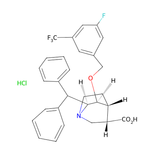 Cl.O=C(O)[C@@H]1CN2CC[C@H]1[C@H](OCc1cc(F)cc(C(F)(F)F)c1)[C@@H]2C(c1ccccc1)c1ccccc1